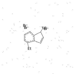 CCc1cccc2c1C=C[CH]2[Ti+3].[Br-].[Br-].[Br-]